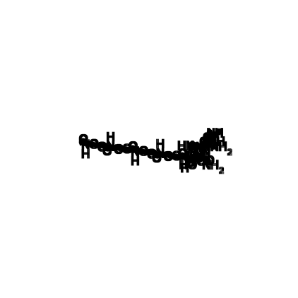 CCCC[C@H](NC(=O)[C@H](CN)NC(=O)[C@H](Cc1c[nH]cn1)NC(=O)[C@H](CCC(N)=O)NC(=O)[C@H](CO)NC(=O)CNC(=O)COCCOCCNC(=O)COCCOCCNC(=O)COCCOCCNC(=O)COCCOCCNC(C)=O)C(=O)NC